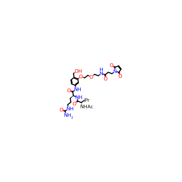 CC(=O)N[C@H](C(=O)N[C@@H](CCCNC(N)=O)C(=O)Nc1ccc(CO)c(OCCOCCNC(=O)CCN2C(=O)C=CC2=O)c1)C(C)C